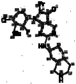 CC(C)n1c(=O)c2cnc(Nc3ccc4c(c3)CNCC4)nc2n1-c1ccc(Cl)c(C(C)(C)C)c1F